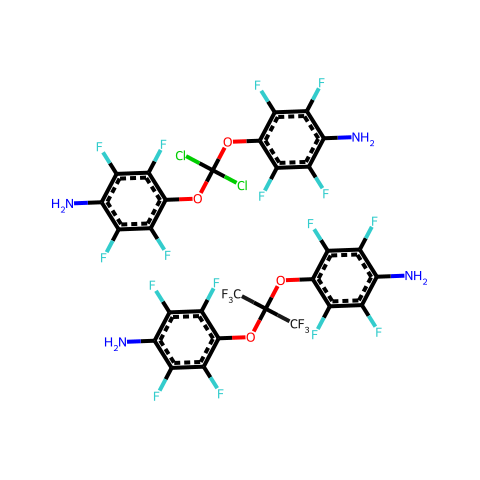 Nc1c(F)c(F)c(OC(Cl)(Cl)Oc2c(F)c(F)c(N)c(F)c2F)c(F)c1F.Nc1c(F)c(F)c(OC(Oc2c(F)c(F)c(N)c(F)c2F)(C(F)(F)F)C(F)(F)F)c(F)c1F